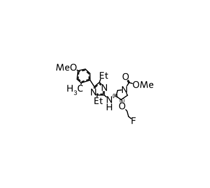 CCc1nc(-c2ccc(OC)cc2C)c(CC)nc1N[C@@H]1CN(C(=O)OC)C[C@@H]1OCCF